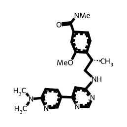 CNC(=O)c1ccc([C@H](C)CNc2cc(-c3ccc(N(C)C)nc3)ncn2)c(OC)c1